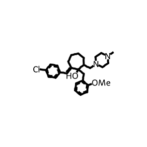 COc1ccccc1CC1(O)C(=Cc2ccc(Cl)cc2)CCCCC1CN1CCN(C)CC1